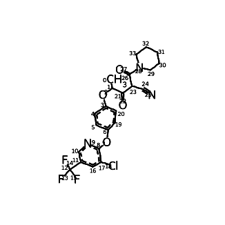 CC(Oc1ccc(Oc2ncc(C(F)(F)F)cc2Cl)cc1)C(=O)C(C#N)C(=O)N1CCCCC1